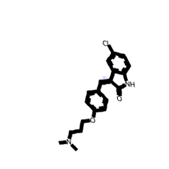 CN(C)CCCOc1ccc(/C=C2\C(=O)Nc3ccc(Cl)cc32)cc1